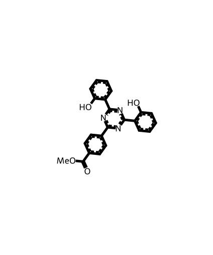 COC(=O)c1ccc(-c2nc(-c3ccccc3O)nc(-c3ccccc3O)n2)cc1